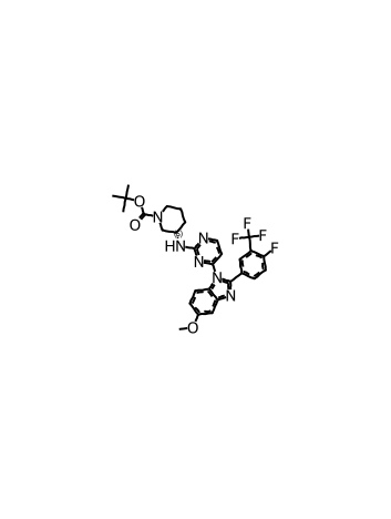 COc1ccc2c(c1)nc(-c1ccc(F)c(C(F)(F)F)c1)n2-c1ccnc(N[C@H]2CCCN(C(=O)OC(C)(C)C)C2)n1